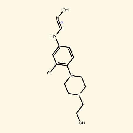 OCCN1CCN(c2ccc(N/C=N/O)cc2Cl)CC1